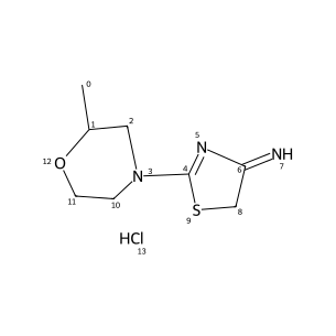 CC1CN(C2=NC(=N)CS2)CCO1.Cl